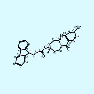 CC1(OC(=O)OCC2c3ccccc3-c3ccccc32)CCc2nc3cc(Br)cnc3c(=O)n2CC1